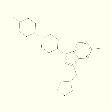 CC(C)C1CCC(N2CCC(n3cc(CN4CCCC4)c4cc(F)ccc43)CC2)CC1